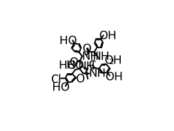 CC(C)(NC(C(=O)O)c1cc(O)cc(O)c1)C(=O)C(NC(=O)C(NC(=O)C(N)c1ccc(O)cc1)c1ccc(O)cc1)C(O)c1ccc(O)c(Cl)c1